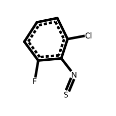 Fc1cccc(Cl)c1N=S